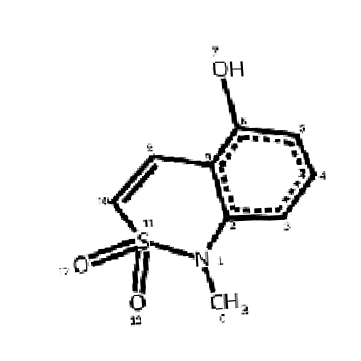 CN1c2cccc(O)c2C=CS1(=O)=O